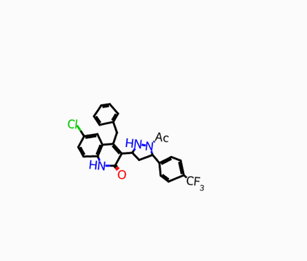 CC(=O)N1NC(c2c(Cc3ccccc3)c3cc(Cl)ccc3[nH]c2=O)CC1c1ccc(C(F)(F)F)cc1